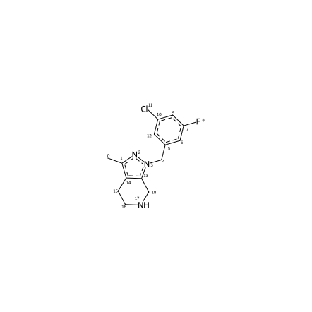 Cc1nn(Cc2cc(F)cc(Cl)c2)c2c1CCNC2